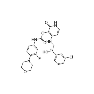 O=C(Nc1ccc(N2CCOCC2)c(F)c1)Oc1c(NC[C@@H](O)c2cccc(Cl)c2)cc[nH]c1=O